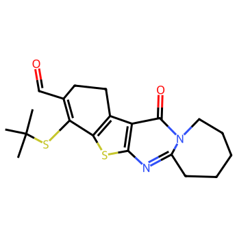 CC(C)(C)SC1=C(C=O)CCc2c1sc1nc3n(c(=O)c21)CCCCC3